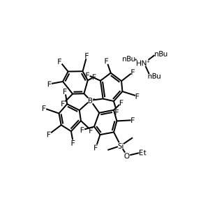 CCCC[NH+](CCCC)CCCC.CCO[Si](C)(C)c1c(F)c(F)c([B-](c2c(F)c(F)c(F)c(F)c2F)(c2c(F)c(F)c(F)c(F)c2F)c2c(F)c(F)c(F)c(F)c2F)c(F)c1F